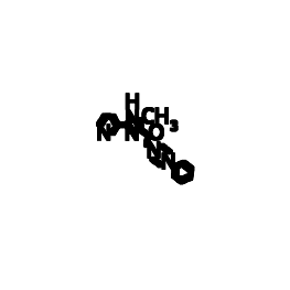 Cc1[nH]c(-c2cccnc2)nc1C(=O)CN1CCN(c2ccccc2)CC1